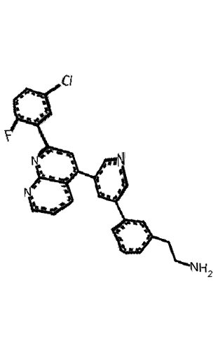 NCCc1cccc(-c2cncc(-c3cc(-c4cc(Cl)ccc4F)nc4ncccc34)c2)c1